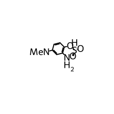 CNc1ccc(O[SH](=O)=O)c(N)c1